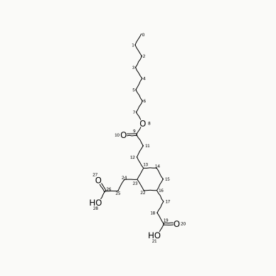 CCCCCCCCOC(=O)CCC1CCC(CCC(=O)O)CC1CCC(=O)O